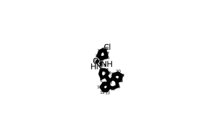 N=S(=O)(NC1CCC(=C2c3ccccc3CCc3ccccc32)CC1)c1ccc(Cl)cc1